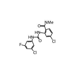 CNC(=O)c1ccc(Cl)cc1NC(=O)Nc1cc(F)cc(Cl)c1